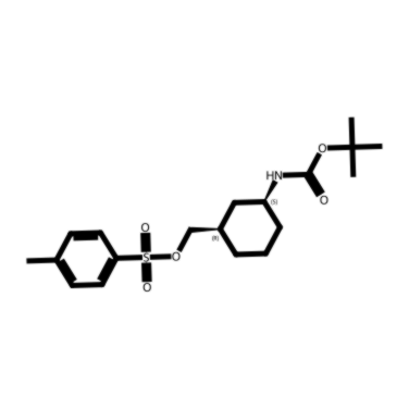 Cc1ccc(S(=O)(=O)OC[C@@H]2CCC[C@H](NC(=O)OC(C)(C)C)C2)cc1